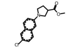 COC(=O)C1CCN(c2ccc3cc(Cl)ccc3c2)C1